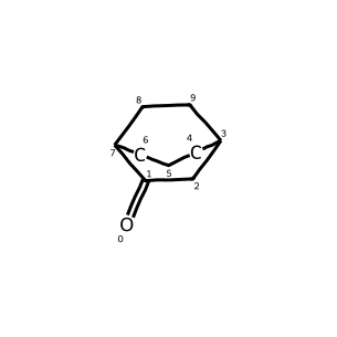 O=C1CC2CCCC1CC2